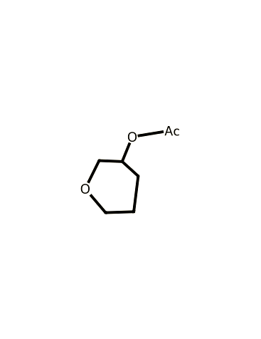 [CH2]C(=O)OC1CCCOC1